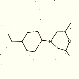 CCC1CCC(N2CC(C)OC(C)C2)CC1